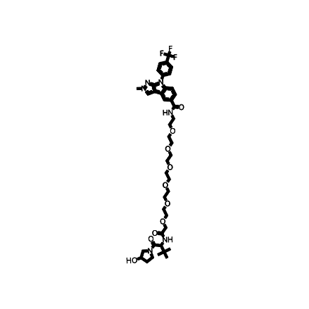 Cn1cc2c3cc(C(=O)NCCOCCOCCOCCOCCOCCOCC(=O)NC(C(=O)N4CCC(O)C4)C(C)(C)C)ccc3n(-c3ccc(C(F)(F)F)cc3)c2n1